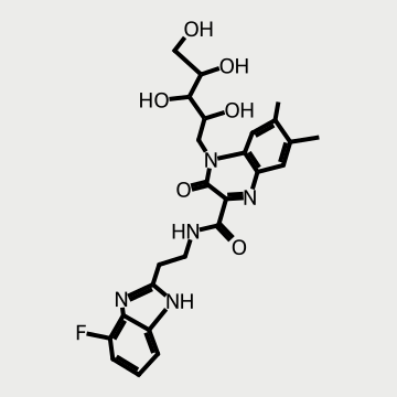 Cc1cc2nc(C(=O)NCCc3nc4c(F)cccc4[nH]3)c(=O)n(CC(O)C(O)C(O)CO)c2cc1C